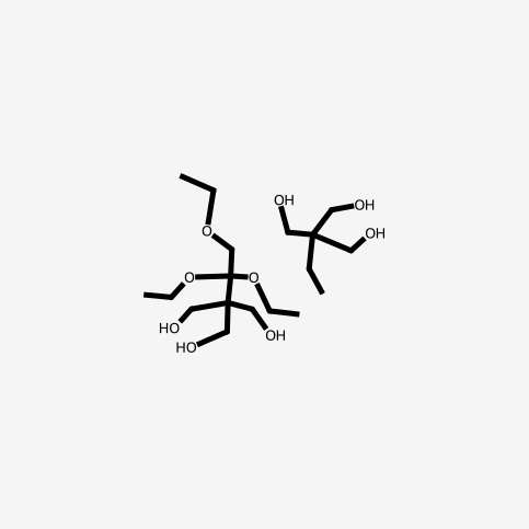 CCC(CO)(CO)CO.CCOCC(OCC)(OCC)C(CO)(CO)CO